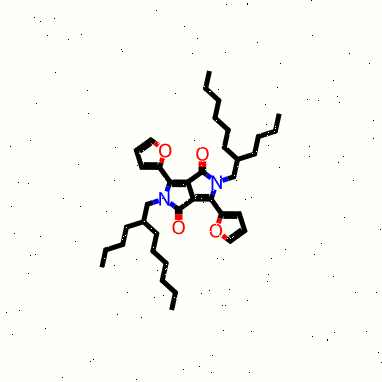 CCCCCCC(CCCC)CN1C(=O)C2=C(c3ccco3)N(CC(CCCC)CCCCCC)C(=O)C2=C1c1ccco1